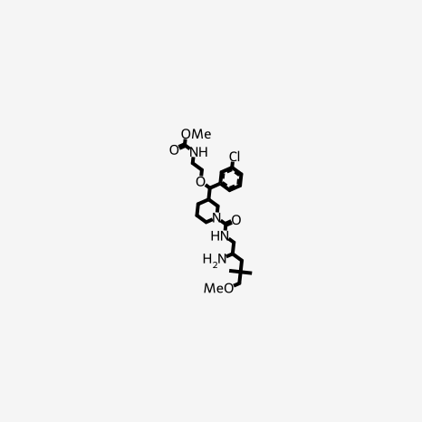 COCC(C)(C)CC(N)CNC(=O)N1CCCC(C(OCCNC(=O)OC)c2cccc(Cl)c2)C1